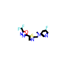 CN(Cc1ncc(-c2nnc(C(F)F)o2)s1)c1cncc(F)c1